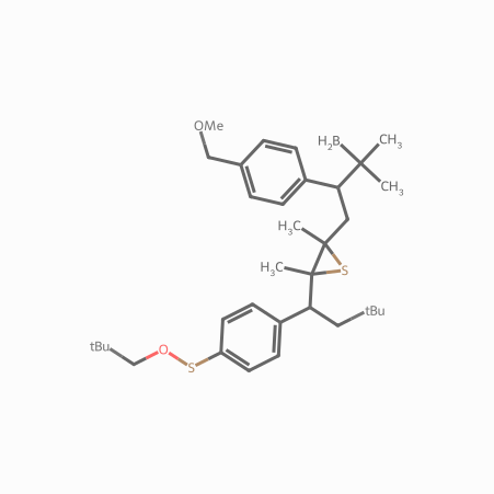 BC(C)(C)C(CC1(C)SC1(C)C(CC(C)(C)C)c1ccc(SOCC(C)(C)C)cc1)c1ccc(COC)cc1